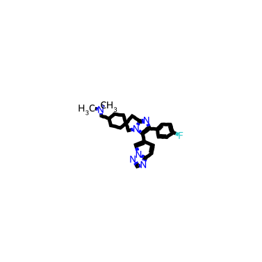 CN(C)CC1CCC2(CC1)Cc1nc(-c3ccc(F)cc3)c(-c3ccc4ncnn4c3)n1C2